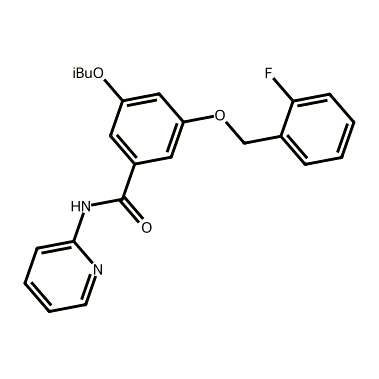 CC(C)COc1cc(OCc2ccccc2F)cc(C(=O)Nc2ccccn2)c1